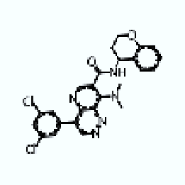 CN(C)c1c(C(=O)N[C@H]2CCOc3ccccc32)cnc2c(-c3cc(Cl)cc(Cl)c3)cnnc12